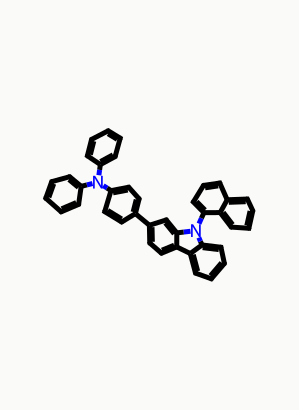 c1ccc(N(c2ccccc2)c2ccc(-c3ccc4c5ccccc5n(-c5cccc6ccccc56)c4c3)cc2)cc1